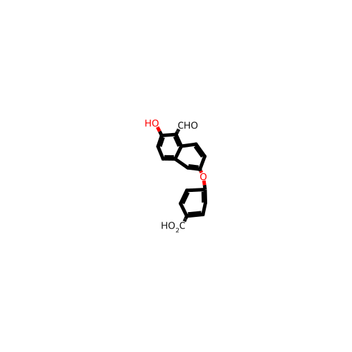 O=Cc1c(O)ccc2cc(Oc3ccc(C(=O)O)cc3)ccc12